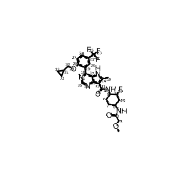 COCC(=O)NC1CCC(NC(=O)c2c(C)[nH]c3c(-c4cc(C(F)(F)F)ccc4OCC4CC4)ncnc23)C(F)C1